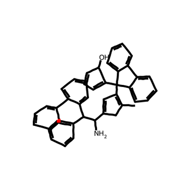 CC1=C(C2(C3=CC=CC3O)c3ccccc3-c3ccccc32)C=C(C(N)C(c2ccccc2)c2ccccc2-c2ccccc2)C1